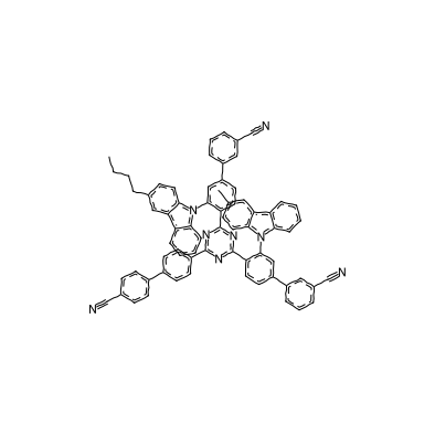 CCCCc1ccc2c(c1)c1ccccc1n2-c1cc(-c2cccc(C#N)c2)ccc1-c1nc(-c2ccc(-c3ccc(C#N)cc3)cc2)nc(-c2ccc(-c3cccc(C#N)c3)cc2-n2c3ccccc3c3cc(C)ccc32)n1